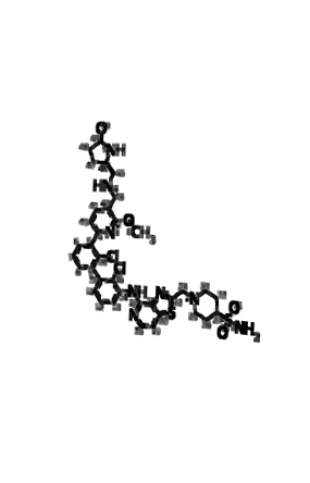 COc1nc(-c2cccc(-c3cccc(Nc4nccc5sc(CN6CCC(S(N)(=O)=O)CC6)nc45)c3Cl)c2Cl)ccc1CNC[C@H]1CCC(=O)N1